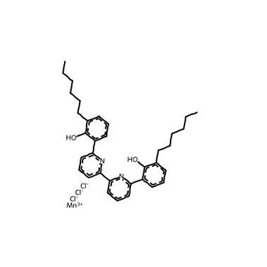 CCCCCCc1cccc(-c2cccc(-c3cccc(-c4cccc(CCCCCC)c4O)n3)n2)c1O.[Cl-].[Cl-].[Cl-].[Mn+3]